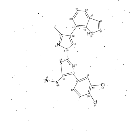 Cc1nn(-c2nc(-c3ccc(Cl)c(Cl)c3)c(SC(C)C)s2)cc1-c1cccc2cc[nH]c12